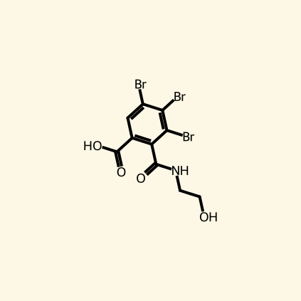 O=C(O)c1cc(Br)c(Br)c(Br)c1C(=O)NCCO